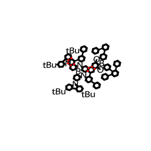 CC(C)(C)c1ccc2c(c1)c1cc(C(C)(C)C)ccc1n2-c1ccc2c(c1)N(c1ccc(-c3ccccc3)cc1-c1ccccc1)c1cc(-c3cc4c5c(c3)Oc3cc(-c6c(-c7ccccc7)cccc6-c6ccccc6)ccc3B5c3ccc(-c5ccccc5-c5ccccc5)cc3O4)cc3c1B2c1ccc(-n2c4ccc(C(C)(C)C)cc4c4cc(C(C)(C)C)ccc42)cc1N3c1ccc(-c2ccccc2)cc1-c1ccccc1